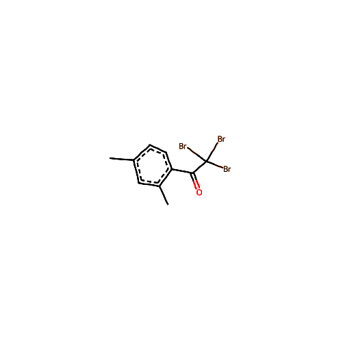 Cc1ccc(C(=O)C(Br)(Br)Br)c(C)c1